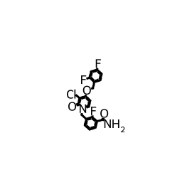 NC(=O)c1cccc(Cn2ccc(OCc3ccc(F)cc3F)c(Cl)c2=O)c1F